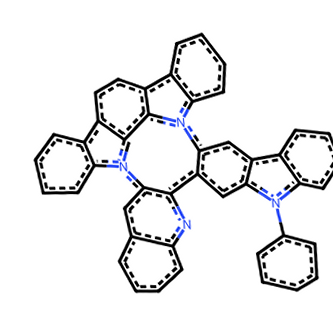 c1ccc(-n2c3ccccc3c3cc4c(cc32)c2nc3ccccc3cc2n2c3ccccc3c3ccc5c6ccccc6n4c5c32)cc1